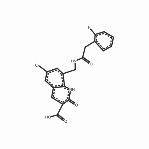 O=C(Cc1ccccc1F)NCc1cc(Cl)cc2cc(C(=O)O)c(=O)[nH]c12